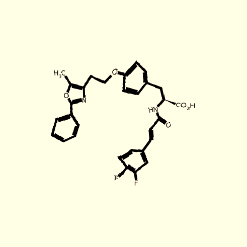 Cc1oc(-c2ccccc2)nc1CCOc1ccc(C[C@H](NC(=O)C=Cc2ccc(F)c(F)c2)C(=O)O)cc1